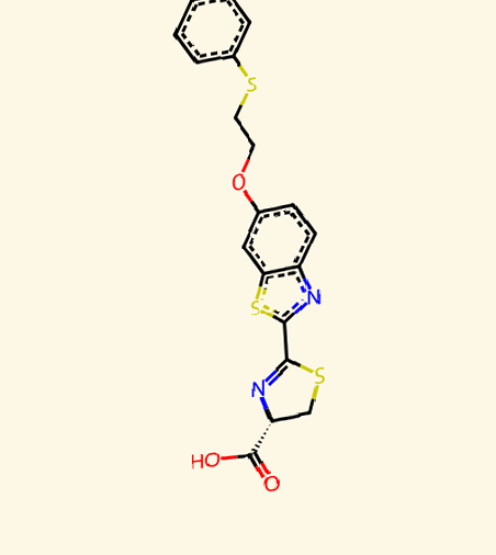 O=C(O)[C@H]1CSC(c2nc3ccc(OCCSc4ccccc4)cc3s2)=N1